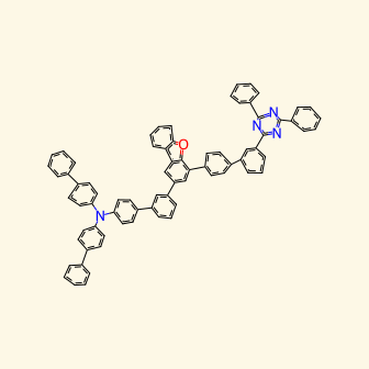 c1ccc(-c2ccc(N(c3ccc(-c4ccccc4)cc3)c3ccc(-c4cccc(-c5cc(-c6ccc(-c7cccc(-c8nc(-c9ccccc9)nc(-c9ccccc9)n8)c7)cc6)c6oc7ccccc7c6c5)c4)cc3)cc2)cc1